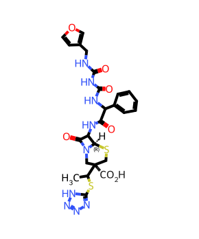 CC(Sc1nnn[nH]1)C1(C(=O)O)CS[C@@H]2C(NC(=O)C(NC(=O)NC(=O)NCc3ccoc3)c3ccccc3)C(=O)N2C1